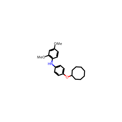 COc1ccc(Nc2ccc(OC3CCCCCCC3)cc2)c(OC)c1